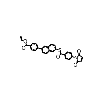 C=COC(=O)c1ccc(-c2ccc3cc(SC(=O)c4ccc(N5C(=O)C=CC5=O)cc4)ccc3c2)cc1